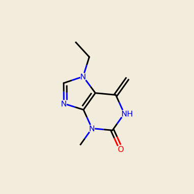 C=C1NC(=O)N(C)c2ncn(CC)c21